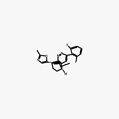 Cc1ncc([C@@]23C#CC(C)[C@@H](CC2)c2cc(-c4c(F)cccc4F)nnc23)o1